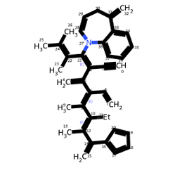 C#C/C(C(=C)/C(C=C)=C(C)/C(CC)=C(\C)C(=C)C1=C=CC=C1)=C(/C(C)=C(C)C)N1C=CCC(=C)c2ccccc21